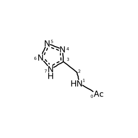 [CH2]C(=O)NCc1nnn[nH]1